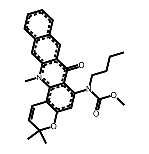 CCCCN(C(=O)OC)c1cc2c(c3c1c(=O)c1cc4ccccc4cc1n3C)C=CC(C)(C)O2